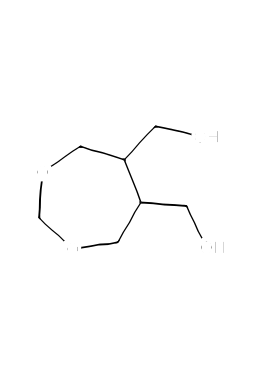 OCC1COCOCC1CO